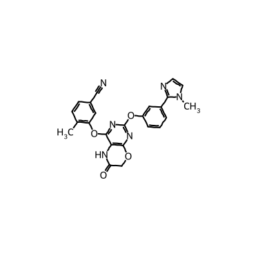 Cc1ccc(C#N)cc1Oc1nc(Oc2cccc(-c3nccn3C)c2)nc2c1NC(=O)CO2